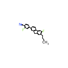 CCCCc1cc2c(cc1F)-c1ccc(-c3ccc(C#N)c(F)c3)cc1C2